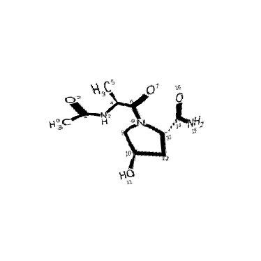 CC(=O)N[C@@H](C)C(=O)N1C[C@H](O)C[C@H]1C(N)=O